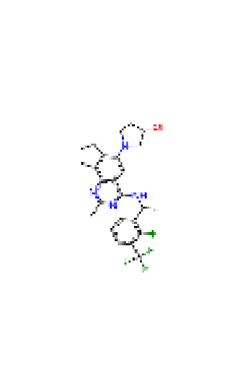 Cc1nc(NC(C)c2cccc(C(F)(F)F)c2F)c2cc(N3CC[C@H](O)C3)c3c(c2n1)CCC3